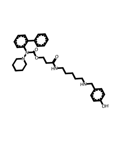 O=C(CCOC(=O)N(c1ccccc1-c1ccccc1)N1CC[CH]CC1)NCCCCCNCc1ccc(O)cc1